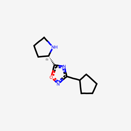 C1CCC(c2noc([C@@H]3CCCN3)n2)C1